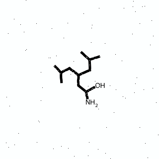 CC(C)CC(CC(C)C)CC(N)O